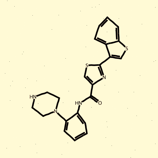 O=C(Nc1ccccc1N1CCNCC1)c1csc(-c2csc3ccccc23)n1